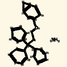 N.c1ccc(C(CCOc2ccc3c(c2)C3)(c2ccccc2)c2ccccc2)cc1